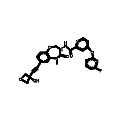 CN1C(=O)[C@@H](NC(=O)c2cc(Oc3cccc(F)n3)ccn2)COc2ccc(C#CC3(O)COC3)cc21